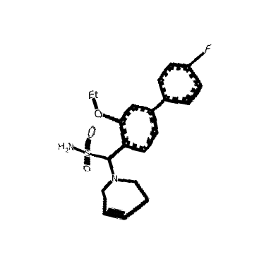 CCOc1cc(-c2ccc(F)cc2)ccc1C(N1CC=CCC1)S(N)(=O)=O